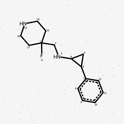 FC1(CNC2CC2c2ccccc2)CCNCC1